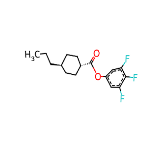 CCC[C@H]1CC[C@H](C(=O)Oc2cc(F)c(F)c(F)c2)CC1